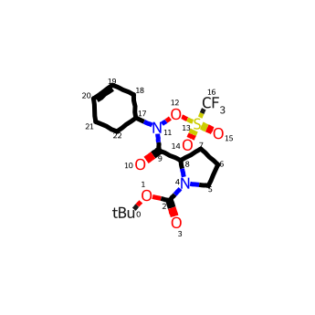 CC(C)(C)OC(=O)N1CCCC1C(=O)N(OS(=O)(=O)C(F)(F)F)C1CC=CCC1